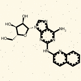 Nc1nc(Nc2ccc3ccccc3n2)nc2c1ncn2[C@@H]1O[C@H](CO)[C@@H](O)[C@H]1O